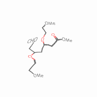 COCCOC(CC=O)CC(CC(=O)OC)OCCOC